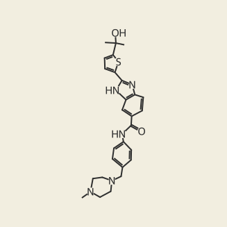 CN1CCN(Cc2ccc(NC(=O)c3ccc4nc(-c5ccc(C(C)(C)O)s5)[nH]c4c3)cc2)CC1